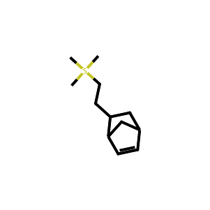 CS(C)(C)CCC1CC2C=CC1C2